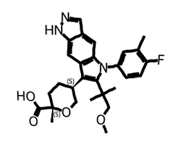 COCC(C)(C)c1c([C@@H]2CC[C@@](C)(C(=O)O)OC2)c2cc3[nH]ncc3cc2n1-c1ccc(F)c(C)c1